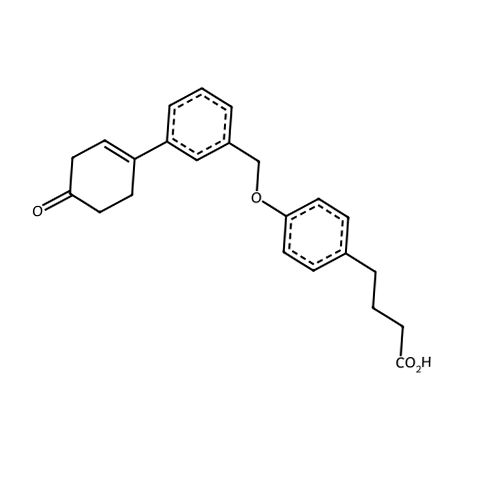 O=C(O)CCCc1ccc(OCc2cccc(C3=CCC(=O)CC3)c2)cc1